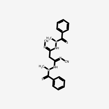 CN(N/C(C/C(=N/C#N)NN(C)C(=S)c1ccccc1)=N\C#N)C(=S)c1ccccc1